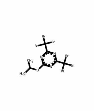 CC(C)Oc1nc(C(Br)(Br)Br)nc(C(Br)(Br)Br)n1